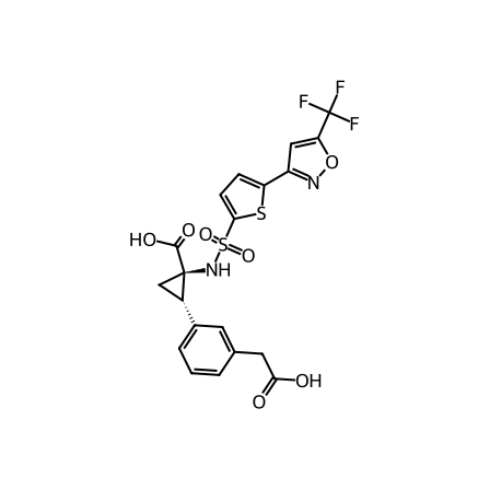 O=C(O)Cc1cccc([C@@H]2C[C@]2(NS(=O)(=O)c2ccc(-c3cc(C(F)(F)F)on3)s2)C(=O)O)c1